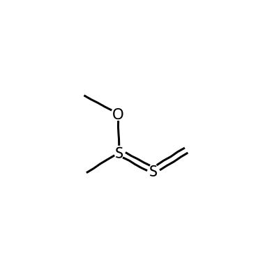 C=S=S(C)OC